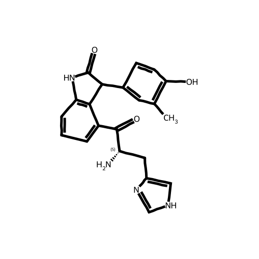 Cc1cc(C2C(=O)Nc3cccc(C(=O)[C@@H](N)Cc4c[nH]cn4)c32)ccc1O